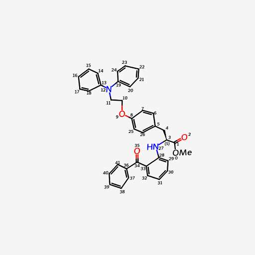 COC(=O)[C@H](Cc1ccc(OCCN(c2ccccc2)c2ccccc2)cc1)Nc1ccccc1C(=O)c1ccccc1